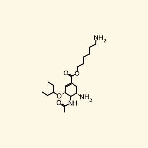 CCC(CC)O[C@@H]1C=C(C(=O)OCCCCCCN)C[C@H](N)C1NC(C)=O